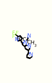 CC(C)(C#N)n1c(-c2ccc(C(F)(F)F)nc2)cc2cc(-c3ccccn3)cnc21